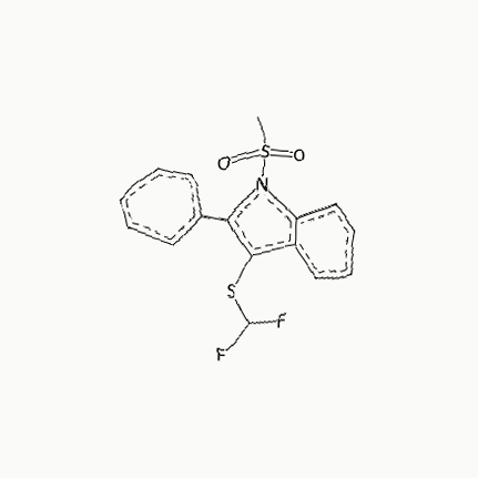 CS(=O)(=O)n1c(-c2ccccc2)c(SC(F)F)c2ccccc21